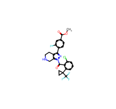 COC(=O)c1ccc(-c2nn(C(=O)c3c(Cl)cccc3C3(C(F)(F)F)CC3)c3c2CCNC3)c(F)c1